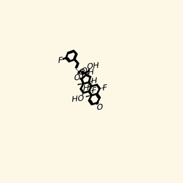 C[C@]12C=CC(=O)C=C1[C@@H](F)C[C@H]1[C@@H]3C[C@H]4O[C@@H](/C=C/c5cccc(F)c5)O[C@@]4(C(=O)CO)[C@@]3(C)C[C@H](O)[C@@]12F